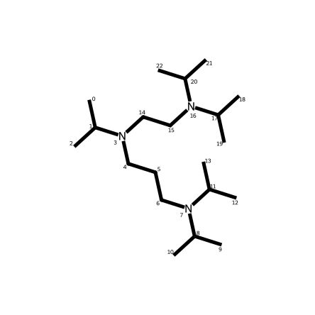 CC(C)N(CCCN(C(C)C)C(C)C)CCN(C(C)C)C(C)C